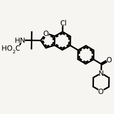 CC(C)(NC(=O)O)c1cc2cc(-c3ccc(C(=O)N4CCOCC4)cc3)cc(Cl)c2o1